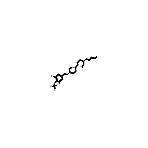 C/C=C/CC[C@H]1CC[C@H]([C@H]2CC[C@H](CCc3cc(F)c(OC(F)(F)F)c(F)c3)CC2)CC1